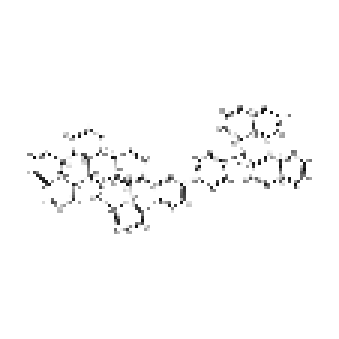 c1cc(-c2ccc(-c3ccccc3N(c3ccc4ccccc4c3)c3cccc4ccccc34)cc2)cc(-c2ccc(N(c3ccc4ccccc4c3)c3cccc4ccccc34)cc2)c1